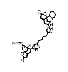 CCCCCN1C[C@]23C[C@H]1C(n1cc(CCCCc4cn([C@H]5CC6=CC(=O)O[C@@]67C[C@@H]5N5CCCCC57)nn4)nn1)CC2=CC(=O)O3